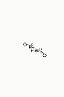 O=C(NCC(O)CNC(=O)OCc1ccccc1)OCc1ccccc1